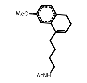 COc1ccc2c(c1)C(CCCCNC(C)=O)=CCC2